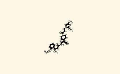 COc1ccccc1C(C)CC(=O)Nc1sc2c(c1C#N)CCN(C(=O)CCn1cc(C)nc1C)C2